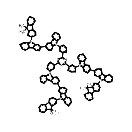 CC1(C)c2ccccc2-c2ccc(-n3c4ccccc4c4ccc(-c5ccc6c(c5)c5ccccc5n6-c5cccc(-c6nc(-c7cccc(-n8c9ccccc9c9cc(-c%10ccc%11c%12ccccc%12n(-c%12ccc%13c(c%12)C(C)(C)c%12ccccc%12-%13)c%11c%10)ccc98)c7)nc(-c7cccc(-n8c9ccccc9c9cc(-c%10ccc%11c%12ccccc%12n(-c%12ccc%13c(c%12)C(C)(C)c%12ccccc%12-%13)c%11c%10)ccc98)c7)n6)c5)cc43)cc21